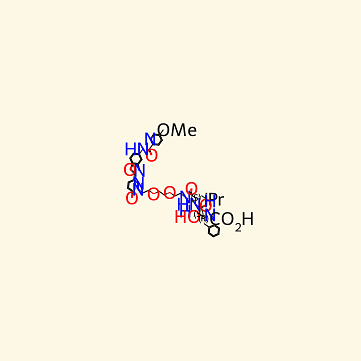 COc1ccc(C(=O)Nc2ccc3oc(-c4ccc(=O)n(CCOCCOCCNC(=O)[C@H](CC(C)C)NC(=O)[C@@H](O)[C@@H](Cc5ccccc5)NC(=O)O)n4)nc3c2)nc1